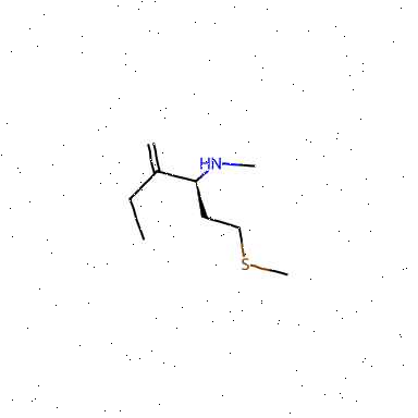 C=C(CC)[C@H](CCSC)NC